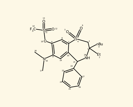 CCCCC1(CC)CS(=O)(=O)c2cc(OS(=O)(=O)C(F)(F)F)c(N(C)C)cc2C(c2ccccc2)N1